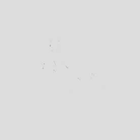 CC[C@H](C)[C@H](CC=C(Cc1ccccc1)C(=O)N[C@H](CCO)C(=O)O)NC[C@@H](N)CS